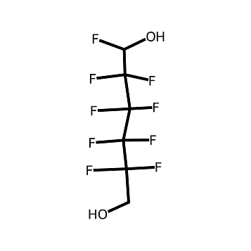 OCC(F)(F)C(F)(F)C(F)(F)C(F)(F)C(O)F